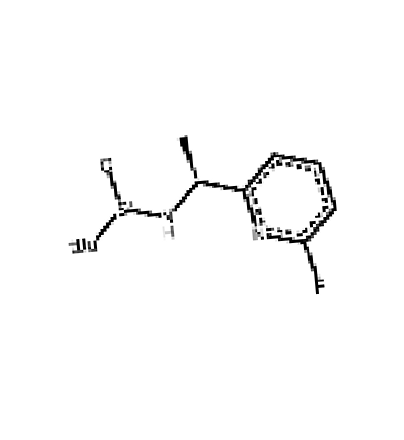 C[C@H](N[S+]([O-])C(C)(C)C)c1cccc(F)n1